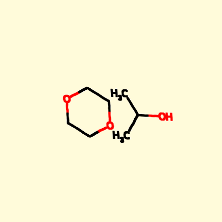 C1COCCO1.CC(C)O